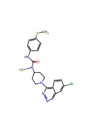 CSc1ccc(NC(=O)N(S)C2CCN(c3nncc4cc(Br)ccc34)CC2)cc1